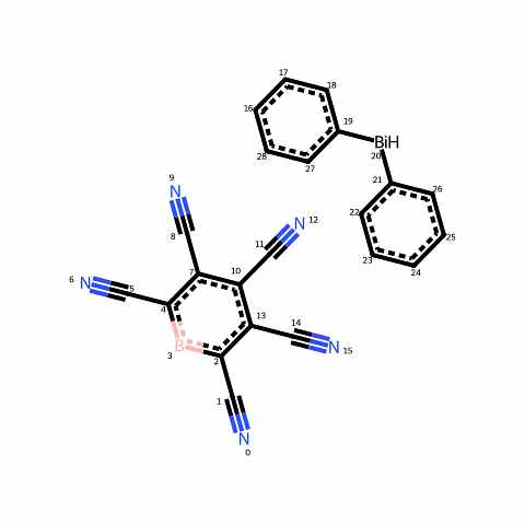 N#Cc1bc(C#N)c(C#N)c(C#N)c1C#N.c1cc[c]([BiH][c]2ccccc2)cc1